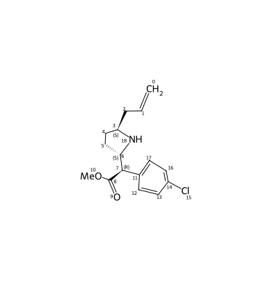 C=CC[C@@H]1CC[C@@H]([C@H](C(=O)OC)c2ccc(Cl)cc2)N1